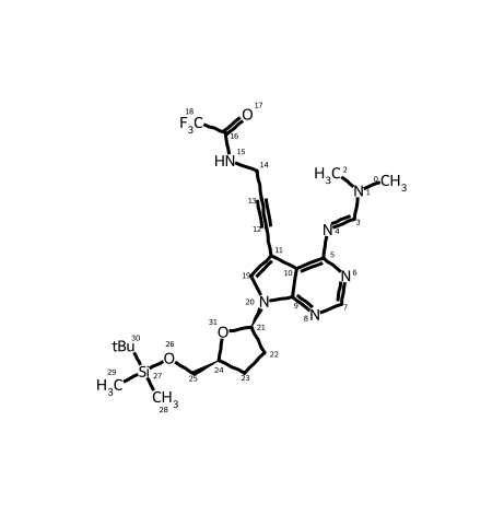 CN(C)/C=N/c1ncnc2c1c(C#CCNC(=O)C(F)(F)F)cn2[C@H]1CC[C@@H](CO[Si](C)(C)C(C)(C)C)O1